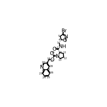 O=C(NC[C@@H]1CC(Br)=NO1)[C@@H]1CCCN1C(=O)OCc1cnc2ccccc2c1